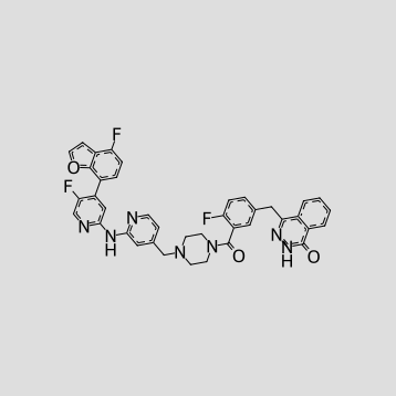 O=C(c1cc(Cc2n[nH]c(=O)c3ccccc23)ccc1F)N1CCN(Cc2ccnc(Nc3cc(-c4ccc(F)c5ccoc45)c(F)cn3)c2)CC1